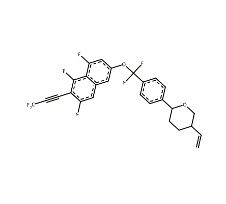 C=CC1CCC(c2ccc(C(F)(F)Oc3cc(F)c4c(F)c(C#CC(F)(F)F)c(F)cc4c3)cc2)OC1